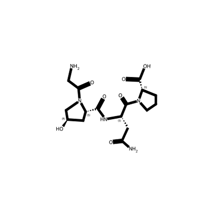 NCC(=O)N1C[C@H](O)C[C@H]1C(=O)N[C@@H](CC(N)=O)C(=O)N1CCC[C@H]1C(=O)O